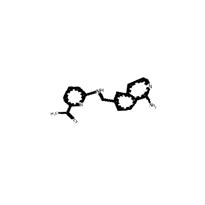 CC(=O)c1cccc(NCc2ccc3c(N)nccc3c2)n1